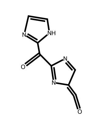 O=C=C1C=NC(C(=O)c2ncc[nH]2)=N1